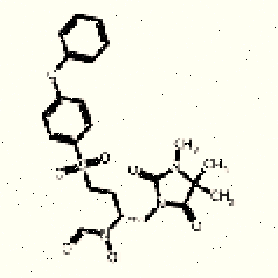 CN1C(=O)N(C[C@@H](CCS(=O)(=O)c2ccc(Oc3ccccc3)cc2)N(O)C=O)C(=O)C1(C)C